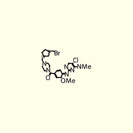 CNc1nc(N=C2C=CC(C(=O)N3CCN(C[C@H]4CC[C@@H](CBr)C4)CC3)=CC2OC)ncc1Cl